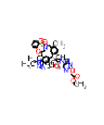 CC[C@@H]1CN(Cc2cc([C@@H](c3ccc4c(nnn4CC)c3C)C(C)(C)C(=O)Nc3cnc(OCC(=O)OC)nc3)ccc2C)S(=O)(=O)c2ccccc2O1